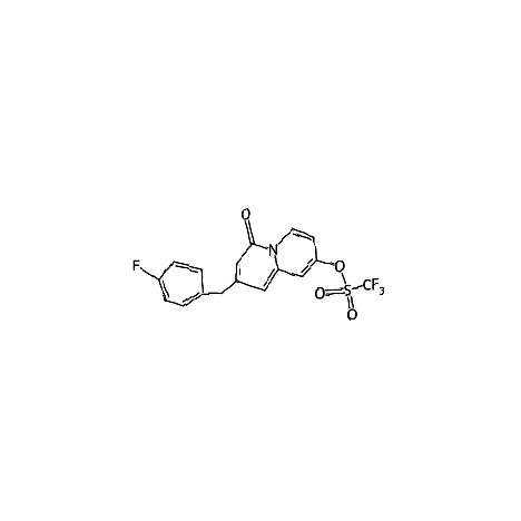 O=c1cc(Cc2ccc(F)cc2)cc2cc(OS(=O)(=O)C(F)(F)F)ccn12